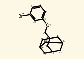 Brc1cccc(OCC23CC4CC(CC(C4)C2)C3)c1